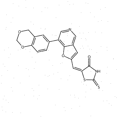 O=C1NC(=S)S/C1=C/c1cc2cncc(-c3ccc4c(c3)COCO4)c2o1